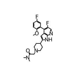 COc1ccc(F)cc1-c1c(F)cnc2[nH]c(C3CCN(CC(=O)N(C)C)CC3)cc12